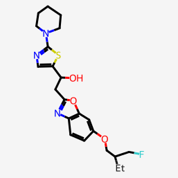 CCC(CF)COc1ccc2nc(CC(O)c3cnc(N4CCCCC4)s3)oc2c1